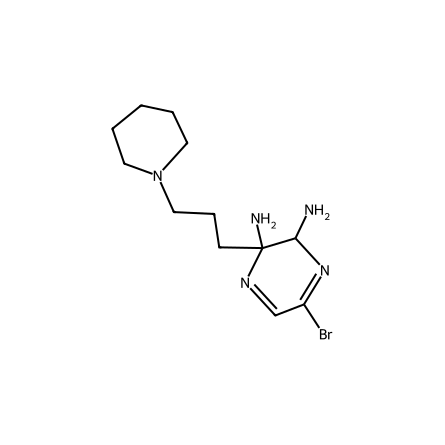 NC1N=C(Br)C=NC1(N)CCCN1CCCCC1